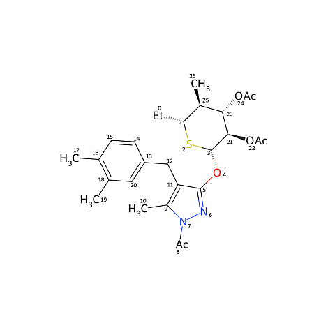 CC[C@H]1S[C@@H](Oc2nn(C(C)=O)c(C)c2Cc2ccc(C)c(C)c2)[C@H](OC(C)=O)[C@@H](OC(C)=O)[C@@H]1C